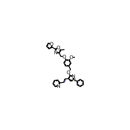 COc1cc(COc2nn(-c3ccccc3)cc2/C=C/c2ccccn2)ccc1OCc1nc(-c2ccco2)oc1C